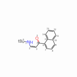 CC(C)(C)N/C=C\C(=O)c1cccc2ccccc12